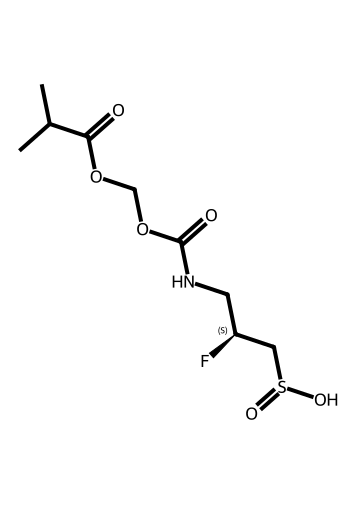 CC(C)C(=O)OCOC(=O)NC[C@H](F)CS(=O)O